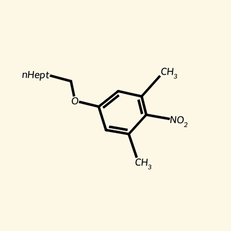 CCCCCCCCOc1cc(C)c([N+](=O)[O-])c(C)c1